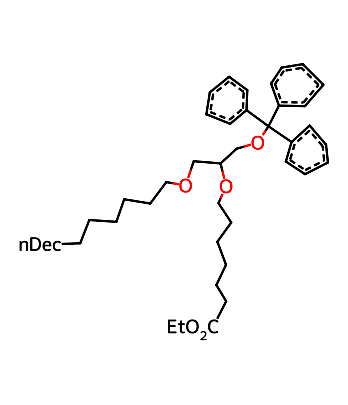 CCCCCCCCCCCCCCCCOCC(COC(c1ccccc1)(c1ccccc1)c1ccccc1)OCCCCCCC(=O)OCC